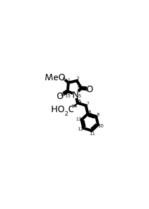 COC1CC(=O)N([C@@H](Cc2ccccc2)C(=O)O)C1=O